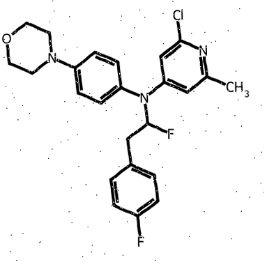 Cc1cc(N(c2ccc(N3CCOCC3)cc2)C(F)Cc2ccc(F)cc2)cc(Cl)n1